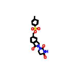 Cc1ccc(S(=O)(=O)OCc2ccc3c(c2)CN(N2CCC(=O)NC2=O)C3=O)cc1